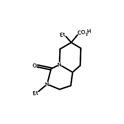 CCN1CCC2CCC(CC)(C(=O)O)CN2C1=O